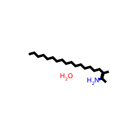 CCCCCCCCCCCCCCCCC(C)=C(C)N.O